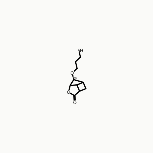 O=C1OC2C3C1CC3[C@@H]2OCCCS